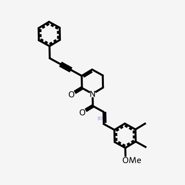 COc1cc(/C=C/C(=O)N2CCC=C(C#CCc3ccccc3)C2=O)cc(C)c1C